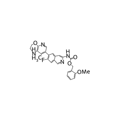 COc1ccccc1COC(=O)Nc1cc2cc(-c3cnc4c(c3C)NCCO4)c(F)cc2cn1